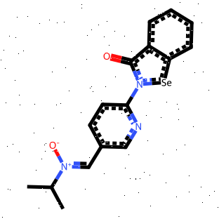 CC(C)[N+]([O-])=Cc1ccc(-n2[se]c3ccccc3c2=O)nc1